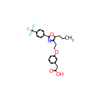 CCCc1oc(-c2ccc(C(F)(F)F)cc2)nc1CCOc1cccc(CC(=O)O)c1